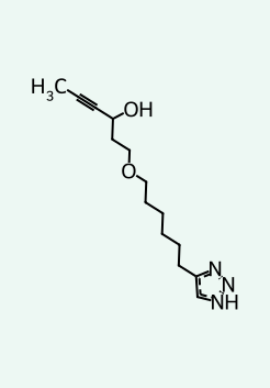 CC#CC(O)CCOCCCCCCc1c[nH]nn1